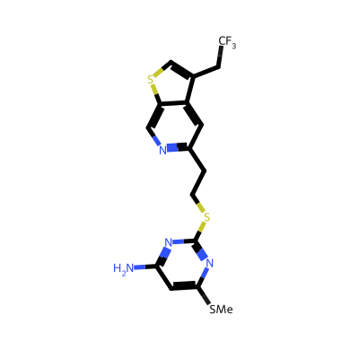 CSc1cc(N)nc(SCCc2cc3c(CC(F)(F)F)csc3cn2)n1